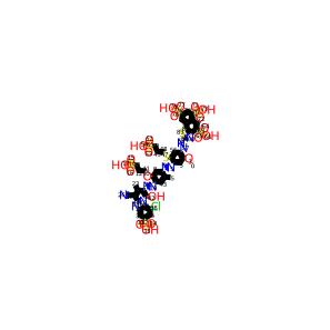 COc1cc(N=Nc2cc(OCCCS(=O)(=O)O)c(N=Nc3c(C)c(C#N)c4nc5cc(S(=O)(=O)O)cc(Cl)c5n4c3O)cc2C)c(SCCCS(=O)(=O)O)cc1N=Nc1nc2c(S(=O)(=O)O)cc3c(S(=O)(=O)O)cc(S(=O)(=O)O)cc3c2s1